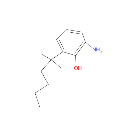 CCCCC(C)(C)c1cccc(N)c1O